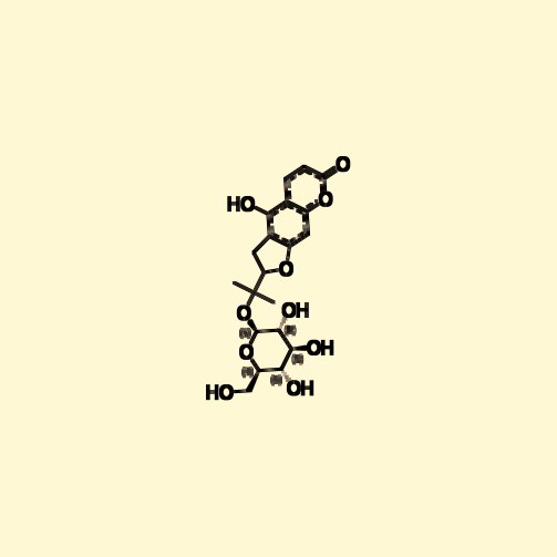 CC(C)(O[C@@H]1O[C@H](CO)[C@@H](O)[C@H](O)[C@H]1O)C1Cc2c(cc3oc(=O)ccc3c2O)O1